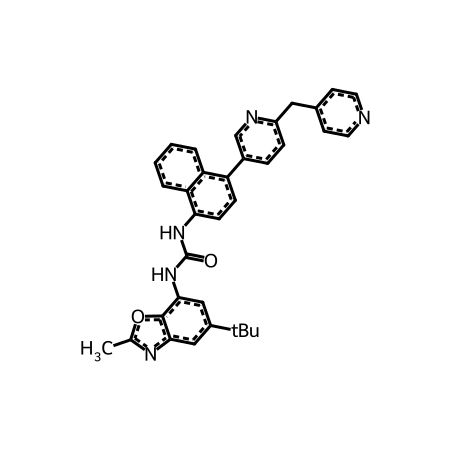 Cc1nc2cc(C(C)(C)C)cc(NC(=O)Nc3ccc(-c4ccc(Cc5ccncc5)nc4)c4ccccc34)c2o1